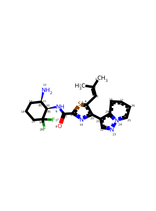 CC(C)=Cc1sc(C(=O)N[C@@H]2[C@H](N)CCCC2(F)F)nc1-c1cnn2ccccc12